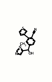 Cn1cncc1C(O)c1ccc(C#N)c(-c2ccsc2)c1